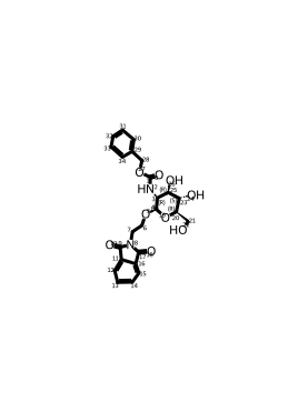 O=C(N[C@H]1[C@H](OCCN2C(=O)c3ccccc3C2=O)O[C@H](CO)[C@@H](O)[C@@H]1O)OCc1ccccc1